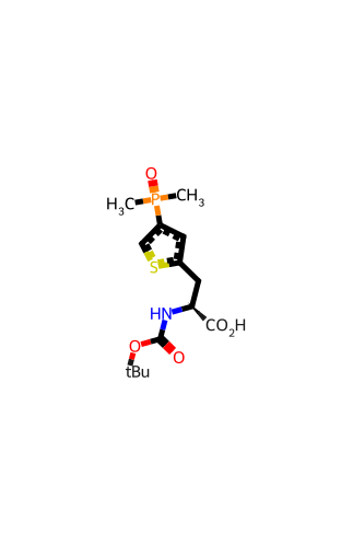 CC(C)(C)OC(=O)N[C@@H](Cc1cc(P(C)(C)=O)cs1)C(=O)O